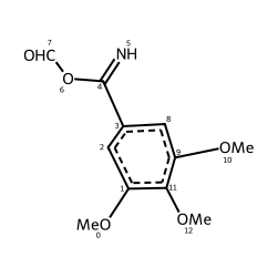 COc1cc(C(=N)OC=O)cc(OC)c1OC